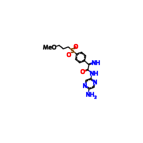 COCCCS(=O)(=O)c1ccc(C(=N)C(=O)Nc2cnc(N)cn2)cc1